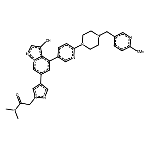 CSc1ccc(CN2CCN(c3ccc(-c4cc(-c5cnn(CC(=O)N(C)C)c5)cn5ncc(C#N)c45)cn3)CC2)cn1